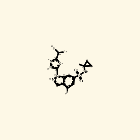 CC1(NS(=O)(=O)c2cc(F)c3cnn(-c4nnc(C(F)F)s4)c3c2)CC1